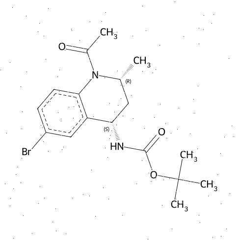 CC(=O)N1c2ccc(Br)cc2[C@@H](NC(=O)OC(C)(C)C)C[C@H]1C